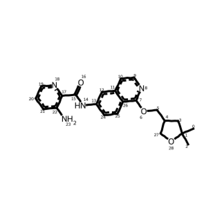 CC1(C)CC(COc2nccc3cc(NC(=O)c4ncccc4N)ccc23)CO1